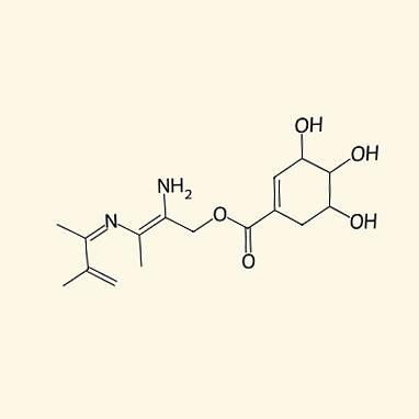 C=C(C)/C(C)=N\C(C)=C(/N)COC(=O)C1=CC(O)C(O)C(O)C1